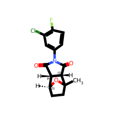 CC12CC[C@H](O1)[C@@H]1C(=O)N(c3ccc(F)c(Cl)c3)C(=O)[C@@H]12